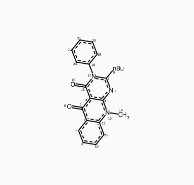 CCCCc1nc2c(c(=O)c3ccccc3n2C)c(=O)n1-c1ccccc1